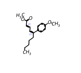 CCCCC/C(=C/C=C/C(=O)OC)c1ccc(OC)cc1